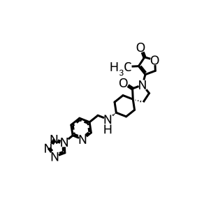 CC1=C(N2CC[C@]3(CC[C@@H](NCc4ccc(-n5cnnn5)nc4)CC3)C2=O)COC1=O